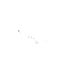 COCCCn1c([C@H]2CCCN(C(=O)C[C@H](N)Cc3ccc(-c4ccc(O)nc4)cc3)C2)c(C)c2c(F)ccc(F)c21